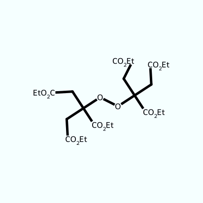 CCOC(=O)CC(CC(=O)OCC)(OOC(CC(=O)OCC)(CC(=O)OCC)C(=O)OCC)C(=O)OCC